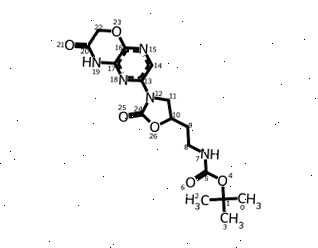 CC(C)(C)OC(=O)NCCC1CN(c2cnc3c(n2)NC(=O)CO3)C(=O)O1